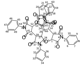 CC1C(=O)N(c2ccccc2)C(=O)C1C1C(=O)N(c2ccccc2)C(=O)C1C1C(=O)N(c2ccccc2)C(=O)C1C1C(=O)N(c2ccccc2)C(=O)C1C1C(=O)N(c2ccccc2)C(=O)C1C